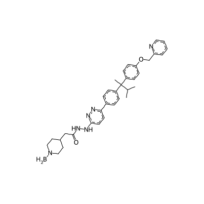 BN1CCC(CC(=O)NNc2ccc(-c3ccc(C(C)(c4ccc(OCc5ccccn5)cc4)C(C)C)cc3)nn2)CC1